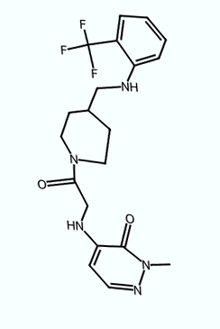 Cn1nccc(NCC(=O)N2CCC(CNc3ccccc3C(F)(F)F)CC2)c1=O